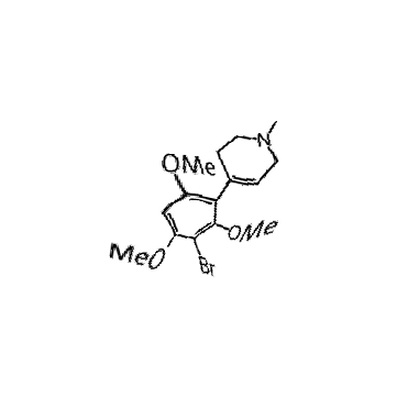 COc1cc(OC)c(C2=CCN(C)CC2)c(OC)c1Br